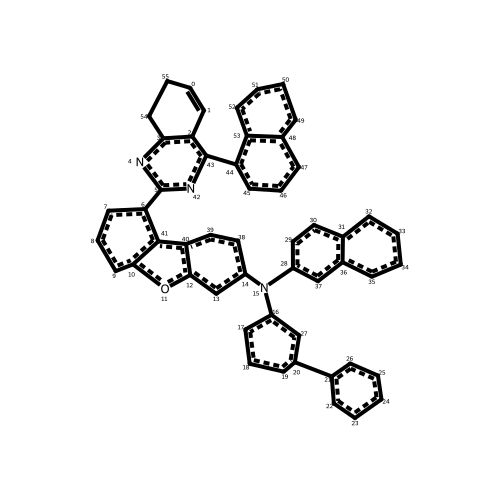 C1=Cc2c(nc(-c3cccc4oc5cc(N(c6cccc(-c7ccccc7)c6)c6ccc7ccccc7c6)ccc5c34)nc2-c2cccc3ccccc23)CC1